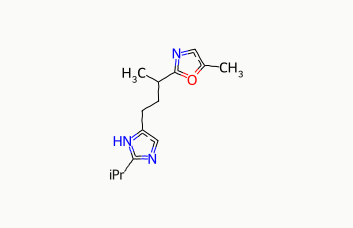 Cc1cnc(C(C)CCc2cnc(C(C)C)[nH]2)o1